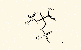 COC(=O)C(C)(COS(=O)(=O)C(F)(F)F)OS(=O)(=O)C(F)(F)F